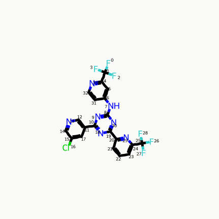 FC(F)(F)c1cc(Nc2nc(-c3cncc(Cl)c3)nc(-c3cccc(C(F)(F)F)n3)n2)ccn1